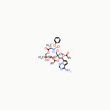 CO[C@](C#N)(COP(=O)(N[C@@H](C)C(=O)OCC(C)(C)O)Oc1ccccc1)[C@@H](OC(=O)C(C)C)[C@@H](OC(=O)C(C)C)c1ccc2c(N)ncnn12